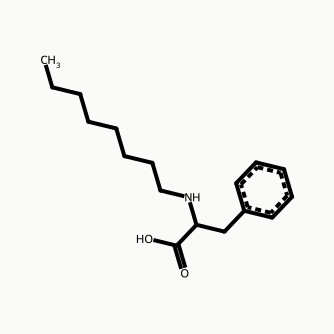 CCCCCCCCNC(Cc1ccccc1)C(=O)O